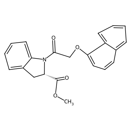 COC(=O)[C@@H]1Cc2ccccc2N1C(=O)COc1cccc2ccccc12